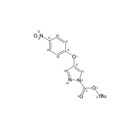 CC(C)(C)OC(=O)n1cc(Oc2ccc([N+](=O)[O-])cc2)cn1